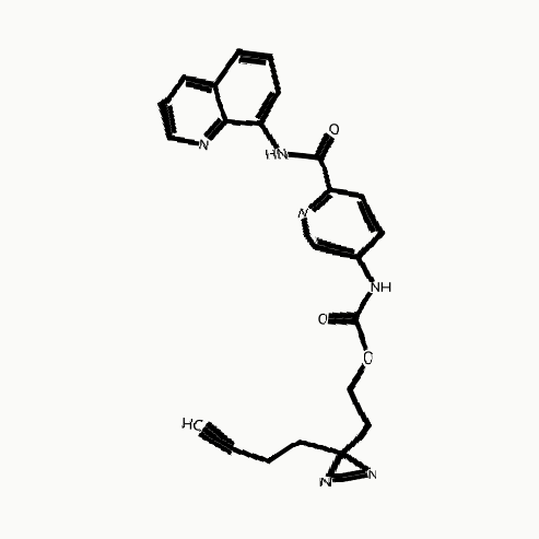 C#CCCC1(CCOC(=O)Nc2ccc(C(=O)Nc3cccc4cccnc34)nc2)N=N1